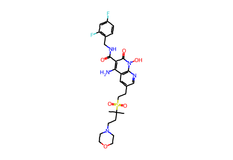 CC(C)(CCN1CCOCC1)S(=O)(=O)CCc1cnc2c(c1)c(N)c(C(=O)NCc1ccc(F)cc1F)c(=O)n2O